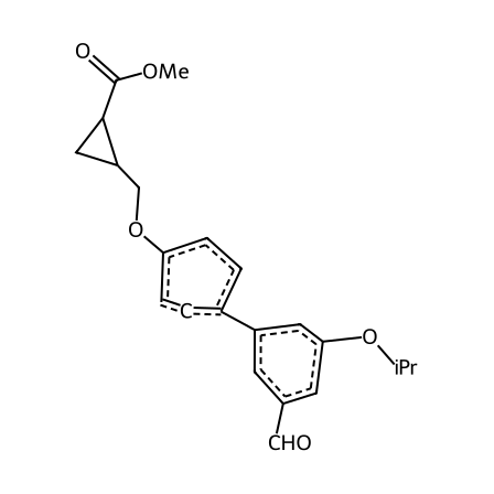 COC(=O)C1CC1COc1ccc(-c2cc(C=O)cc(OC(C)C)c2)cc1